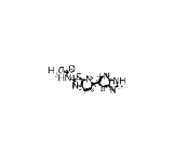 CC(=O)Nc1nc2ccc(-c3cnc4[nH]cnc4c3)nc2s1